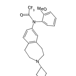 COc1ccccc1N(C(=O)C(F)(F)F)c1ccc2c(c1)CCN(C1CCC1)CC2